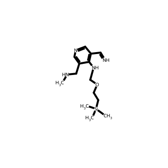 CNCc1cncc(C=N)c1NCOCC[Si](C)(C)C